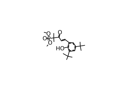 COP(=O)(OC)C(C)(C)C(=O)/C=C/c1cc(C(C)(C)C)cc(C(C)(C)C)c1O